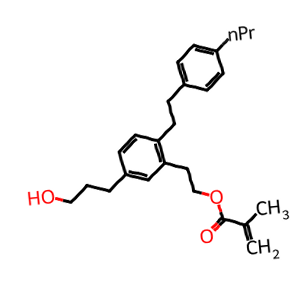 C=C(C)C(=O)OCCc1cc(CCCO)ccc1CCc1ccc(CCC)cc1